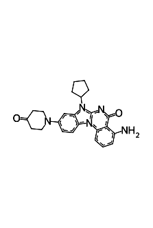 Nc1cccc2c1c(=O)nc1n(C3CCCC3)c3cc(N4CCC(=O)CC4)ccc3n21